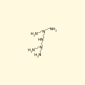 NCCCN(CCCN)CCCNCCCN(CCCN)CCCN